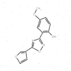 COc1ccc(O)c(-c2noc(-c3ccoc3)n2)c1